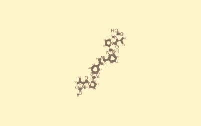 COC(=O)N[C@H](C(=O)N1CCC[C@H]1c1nc2cc(-c3cnc(-c4cccc5[nH]c([C@@H]6CCCN6C(=O)[C@H](C(C)C)N(C)C(=O)O)nc45)o3)ccc2[nH]1)C(C)C